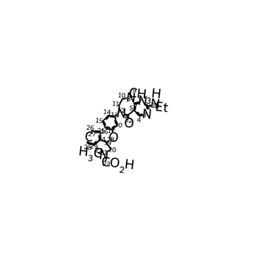 CCNc1ncc2c(n1)N(C)CCN(c1cccc(OC(CN(C)C(=O)O)c3ccccc3)c1)C2=O